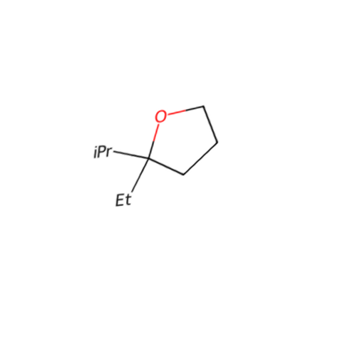 CCC1(C(C)C)CCCO1